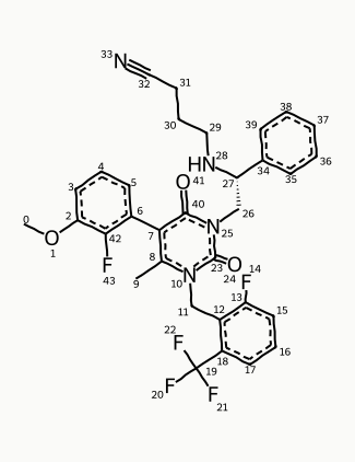 COc1cccc(-c2c(C)n(Cc3c(F)cccc3C(F)(F)F)c(=O)n(C[C@H](NCCCC#N)c3ccccc3)c2=O)c1F